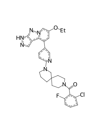 CCOc1cc(-c2ccc(N3CCCC4(CCN(C(=O)c5c(F)cccc5Cl)CC4)C3)nc2)c2c3cn[nH]c3nn2c1